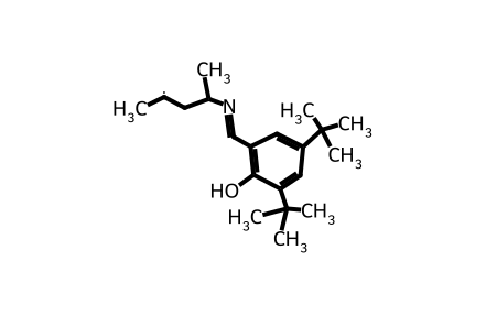 C[CH]CC(C)N=Cc1cc(C(C)(C)C)cc(C(C)(C)C)c1O